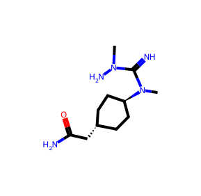 CN(N)C(=N)N(C)[C@H]1CC[C@H](CC(N)=O)CC1